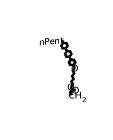 C=CC(=O)OCCCCCCOc1ccc(C2CCC(C3CCC(CCCCC)CC3)CC2)cc1